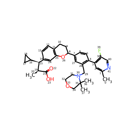 Cc1cc(-c2ccc(C3CCc4ccc([C@H](C5CC5)[C@H](C)C(=O)O)cc4O3)cc2CN2CCOCC2(C)C)c(F)cn1